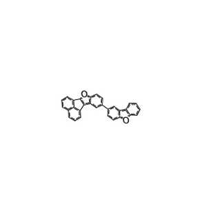 c1cc2c3c(cccc3c1)-c1c-2oc2ccc(-c3ccc4oc5ccccc5c4c3)cc12